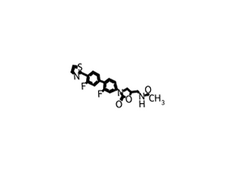 CC(=O)NCC1CN(c2ccc(-c3ccc(-c4nccs4)c(F)c3)c(F)c2)C(=O)O1